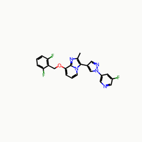 Cc1nc2c(OCc3c(F)cccc3F)cccn2c1-c1cnn(-c2cncc(F)c2)c1